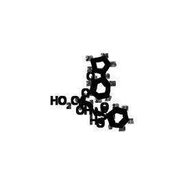 O=C(O)C(O)(CNS(=O)(=O)c1ccccc1)Oc1cccc2c1OC1CCCC21